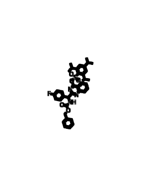 CC(C)c1cc(C(C)C)c(S(=O)(=O)Oc2nc(C(NC(=O)OCc3ccccc3)c3ccc(F)cc3)nc3ccccc23)c(C(C)C)c1